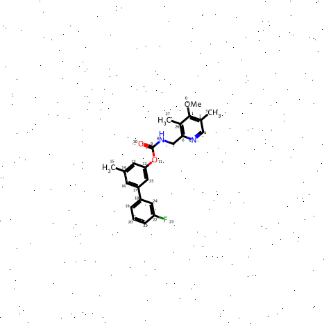 COc1c(C)cnc(CNC(=O)Oc2cc(C)cc(-c3cccc(F)c3)c2)c1C